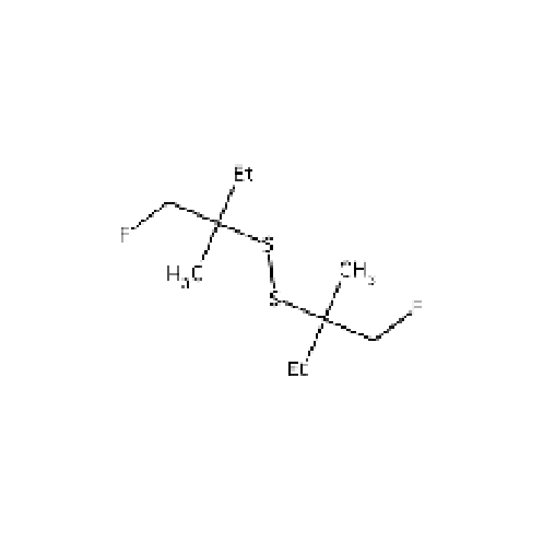 CCC(C)(CF)SSC(C)(CC)CF